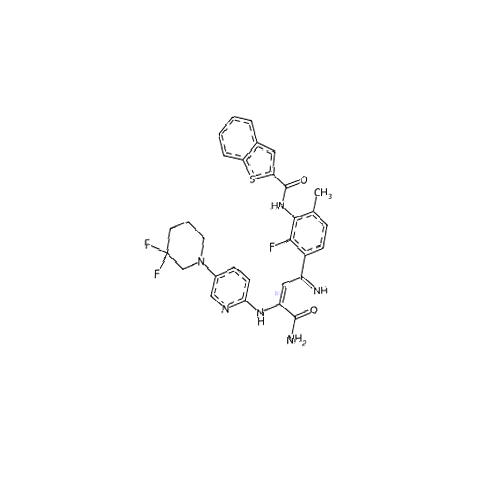 Cc1ccc(C(=N)/C=C(/Nc2ccc(N3CCCC(F)(F)C3)cn2)C(N)=O)c(F)c1NC(=O)c1cc2ccccc2s1